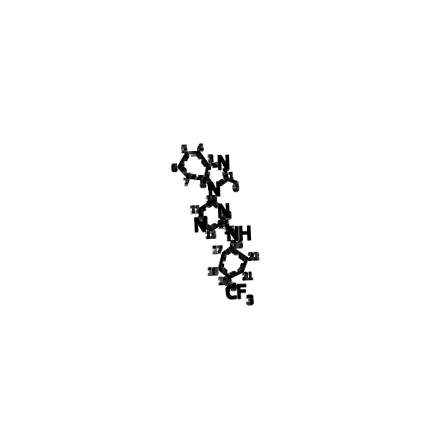 Cc1nc2ccccc2n1-c1cncc(Nc2ccc(C(F)(F)F)cc2)n1